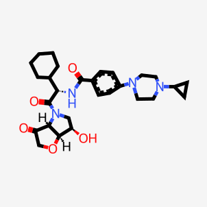 O=C(N[C@H](C(=O)N1C[C@@H](O)[C@H]2OCC(=O)[C@H]21)C1CCCCC1)c1ccc(N2CCN(C3CC3)CC2)cc1